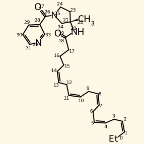 CC/C=C\C/C=C\C/C=C\C/C=C\C/C=C\CCCC(=O)N[C@@]1(C)CCN(C(=O)c2cccnc2)C1